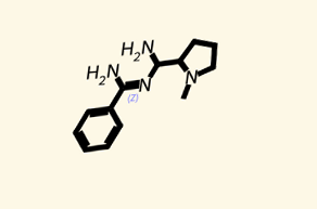 CN1CCCC1C(N)/N=C(\N)c1ccccc1